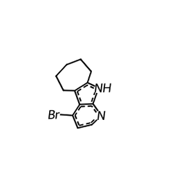 Brc1ccnc2[nH]c3c(c12)CCCCC3